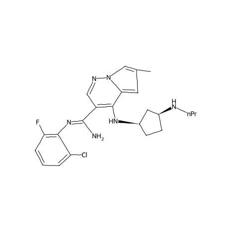 CCCN[C@H]1CC[C@@H](Nc2c(/C(N)=N/c3c(F)cccc3Cl)cnn3cc(C)cc23)C1